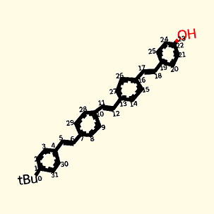 CC(C)(C)c1ccc(C=Cc2ccc(C=Cc3ccc(C=Cc4ccc(O)cc4)cc3)cc2)cc1